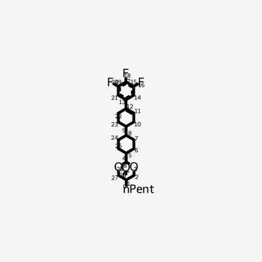 CCCCCC12COC(C3CCC(C4CC=C(c5cc(F)c(F)c(F)c5)CC4)CC3)(OC1)OC2